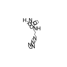 NC(=O)C1C2CCC(O2)C1C(=O)NCCCCN1CCN(c2ncccn2)CC1